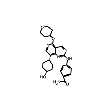 NC(=O)c1ccc(Nc2ncc3c(OC4CCOCC4)ncc([C@H]4CC[C@H](O)CC4)c3n2)cc1